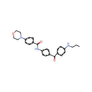 CCCNc1ccc(C(=O)c2ccc(NC(=O)c3ccc(N4CCOCC4)cc3)cc2)cc1